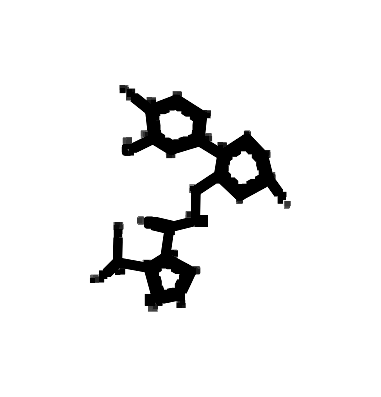 O=C(NCc1cc(F)ccc1-c1ccc(F)c(Cl)c1)c1cn[nH]c1C(F)F